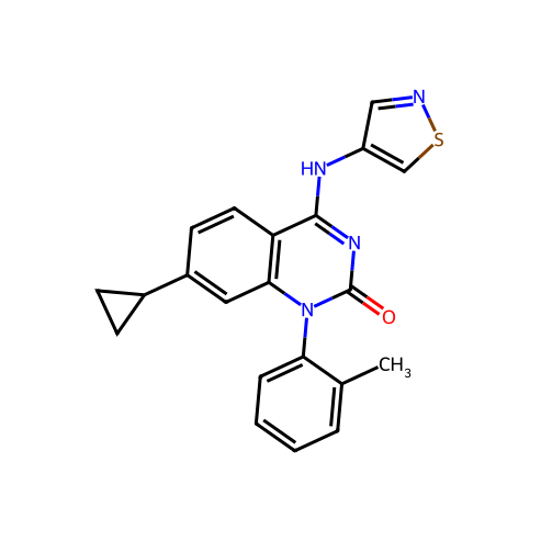 Cc1ccccc1-n1c(=O)nc(Nc2cnsc2)c2ccc(C3CC3)cc21